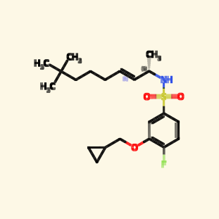 C[C@@H](/C=C/CCCC(C)(C)C)NS(=O)(=O)c1ccc(F)c(OCC2CC2)c1